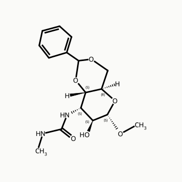 CNC(=O)N[C@H]1[C@H](O)[C@@H](OC)O[C@@H]2COC(c3ccccc3)O[C@@H]12